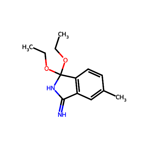 CCOC1(OCC)NC(=N)c2cc(C)ccc21